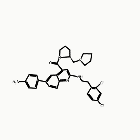 Nc1ccc(-c2ccc3nc(NCCc4ccc(Cl)cc4Cl)cc(C(=O)N4CCC[C@H]4CN4CCCC4)c3c2)cc1